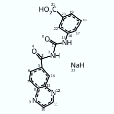 O=C(NC(=O)c1ccc2nccnc2c1)Nc1cccc(C(=O)O)c1.[NaH]